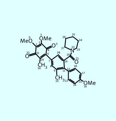 COC1=C(OC)C(=O)C(c2cc(C)c(-c3ccc(OC)cc3)c(C(=O)N3CCCCC3)c2)=C(C)C1=O